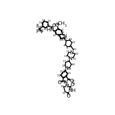 COc1cc2nn(C3CCC(CN4CCN(C5CCN(c6ccc7c(c6)C(=O)N(N6CCC(=O)NC6=O)C7=O)CC5)CC4)CC3)cc2cc1NC(=O)c1cccc(C(F)(F)F)c1